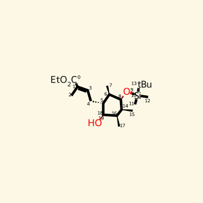 CCOC(=O)/C(C)=C/C[C@@H]1[C@@H](C)[C@H](O[Si](C)(C)C(C)(C)C)[C@@H](C)[C@@H](C)[C@@H]1O